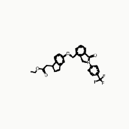 CCOC(=O)CC1CCc2cc(OCc3cccc4c3CN(c3ccc(C(F)(F)F)cc3)C4=O)ccc21